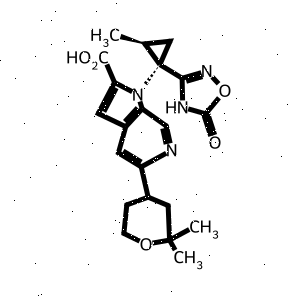 C[C@H]1C[C@]1(c1noc(=O)[nH]1)n1c(C(=O)O)cc2cc(C3CCOC(C)(C)C3)ncc21